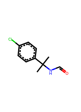 CC(C)(NC=O)c1ccc(Cl)cc1